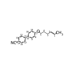 CC=CCCCOc1ccc(-c2ccc(C#N)cc2)cc1